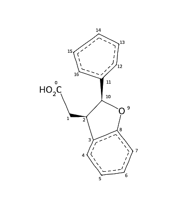 O=C(O)C[C@@H]1c2ccccc2O[C@@H]1c1ccccc1